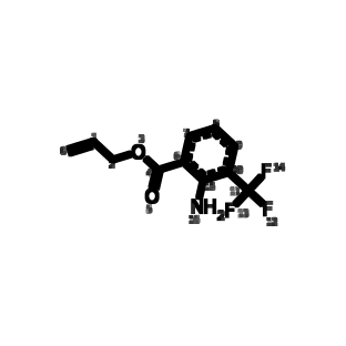 C=CCOC(=O)c1cccc(C(F)(F)F)c1N